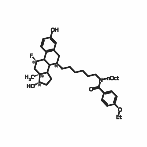 CCCCCCCCN(CCCCCC[C@@H]1Cc2cc(O)ccc2C2C1C1CC[C@H](O)[C@@]1(C)C[C@@H]2F)C(=O)c1ccc(OCC)cc1